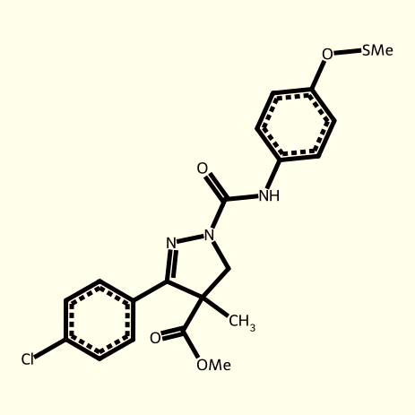 COC(=O)C1(C)CN(C(=O)Nc2ccc(OSC)cc2)N=C1c1ccc(Cl)cc1